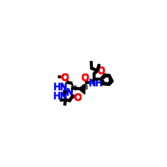 CCC1(C)CC(NC(=O)[C@@H]2CC2[C@@H](CCOC)N2C(=N)NC(C)(C)CC2=O)c2ccccc2O1